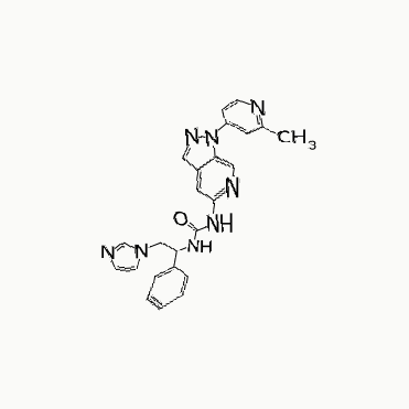 Cc1cc(-n2ncc3cc(NC(=O)NC(Cn4ccnc4)c4ccccc4)ncc32)ccn1